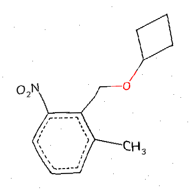 Cc1cccc([N+](=O)[O-])c1COC1CCC1